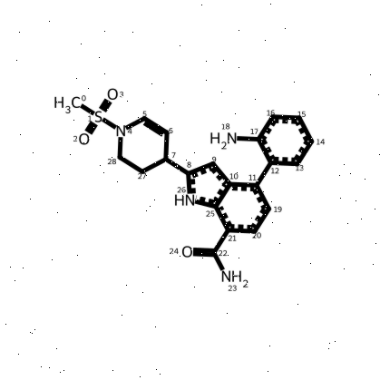 CS(=O)(=O)N1C=CC(c2cc3c(-c4ccccc4N)ccc(C(N)=O)c3[nH]2)CC1